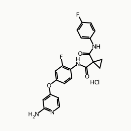 Cl.Nc1cc(Oc2ccc(NC(=O)C3(C(=O)Nc4ccc(F)cc4)CC3)c(F)c2)ccn1